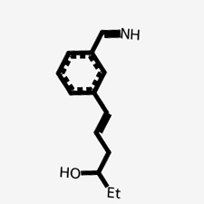 CCC(O)C/C=C/c1cccc(C=N)c1